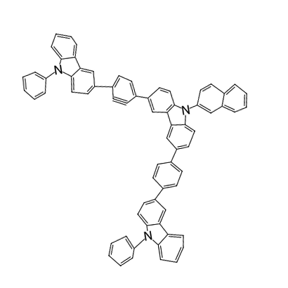 c1c(-c2ccc3c(c2)c2ccccc2n3-c2ccccc2)ccc(-c2ccc3c(c2)c2cc(-c4ccc(-c5ccc6c(c5)c5ccccc5n6-c5ccccc5)cc4)ccc2n3-c2ccc3ccccc3c2)c#1